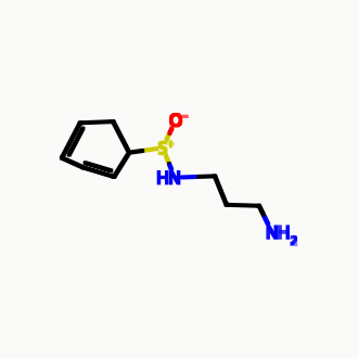 NCCCN[S+]([O-])C1C=CC=CC1